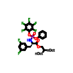 CCCCCCCCC(CCCCCCCC)COC(=O)[C@H](Cc1cc(F)cc(F)c1)NP(=O)(Oc1ccccc1)Oc1c(F)c(F)c(F)c(F)c1F